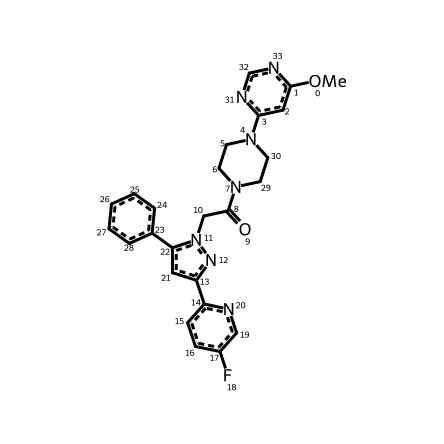 COc1cc(N2CCN(C(=O)Cn3nc(-c4ccc(F)cn4)cc3-c3ccccc3)CC2)ncn1